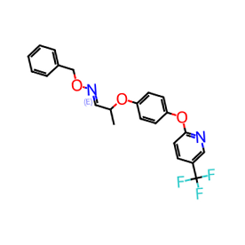 CC(/C=N/OCc1ccccc1)Oc1ccc(Oc2ccc(C(F)(F)F)cn2)cc1